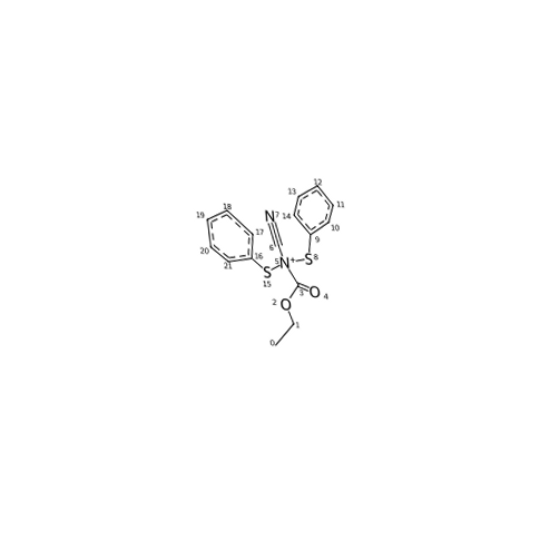 CCOC(=O)[N+](C#N)(Sc1ccccc1)Sc1ccccc1